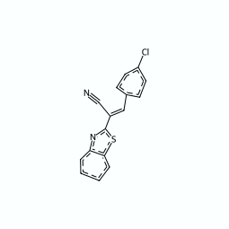 N#CC(=Cc1ccc(Cl)cc1)c1nc2ccccc2s1